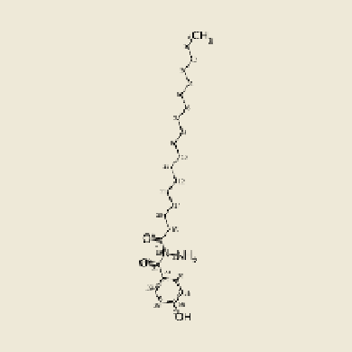 CCCCCCCCCCCCCCCCCC(=O)N(N)C(=O)c1ccc(O)cc1